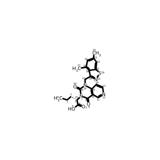 CCC[C@@H](C(=O)O)n1c(=O)c2cnccc2n(Cc2nsc3cc(C)cc(C)c23)c1=O